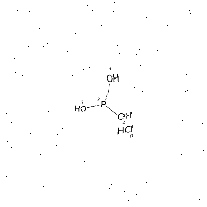 Cl.OP(O)O